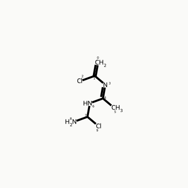 C=C(Cl)/N=C(/C)NC(N)Cl